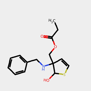 CCC(=O)OCC1(NCc2ccccc2)C=CSC1O